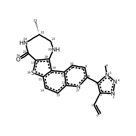 C=Cc1nnn(C)c1-c1ccc2c(ccc3sc4c(c32)NC[C@@H](C)NC4=O)n1